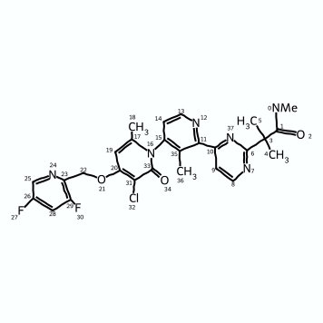 CNC(=O)C(C)(C)c1nccc(-c2nccc(-n3c(C)cc(OCc4ncc(F)cc4F)c(Cl)c3=O)c2C)n1